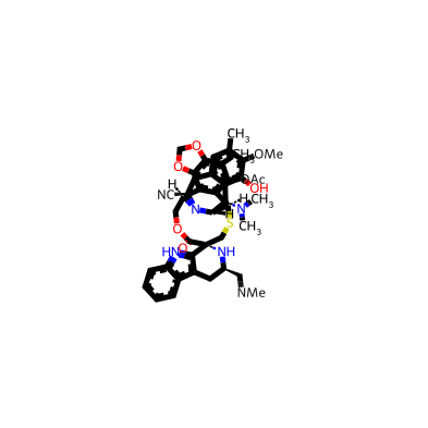 CNC[C@H]1Cc2c([nH]c3ccccc23)[C@@]2(CS[C@@H]3c4c(OC(C)=O)c(C)c5c(c4[C@H](COC2=O)N2[C@@H]3[C@@H](N(C)C)c3c(cc(C)c(OC)c3O)C[C@@H]2C#N)OCO5)N1